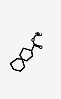 CC(C)(C)OC(=O)C1CCC2(CCCCC2)CC1